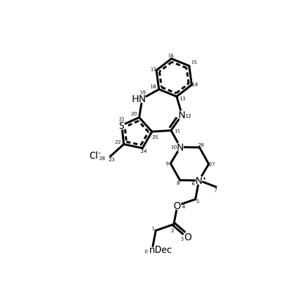 CCCCCCCCCCCC(=O)OC[N+]1(C)CCN(C2=Nc3ccccc3Nc3sc(C)cc32)CC1.[Cl-]